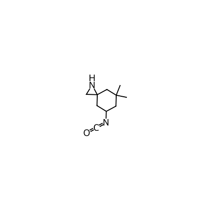 CC1(C)CC(N=C=O)CC2(CN2)C1